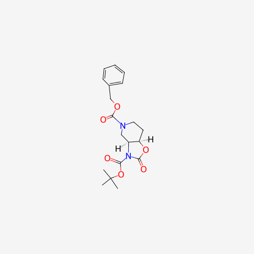 CC(C)(C)OC(=O)N1C(=O)O[C@@H]2CCN(C(=O)OCc3ccccc3)C[C@@H]21